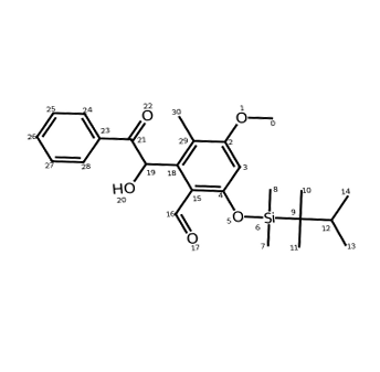 COc1cc(O[Si](C)(C)C(C)(C)C(C)C)c(C=O)c(C(O)C(=O)c2ccccc2)c1C